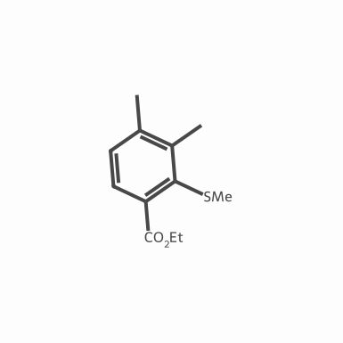 CCOC(=O)c1ccc(C)c(C)c1SC